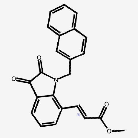 COC(=O)/C=C/c1cccc2c1N(Cc1ccc3ccccc3c1)C(=O)C2=O